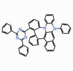 c1ccc(-c2nc(-c3ccccc3)nc(-c3cccc4c3-c3ccccc3-c3c5c(cc6ccccc36)N(c3ccccc3)c3ccccc3N45)n2)cc1